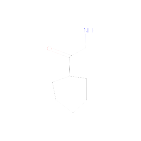 [NH]CC(=O)C1CCCCC1